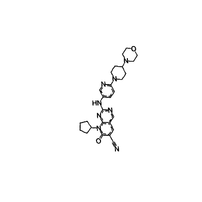 N#Cc1cc2cnc(Nc3ccc(N4CCC(N5CCOCC5)CC4)nc3)nc2n(C2CCCC2)c1=O